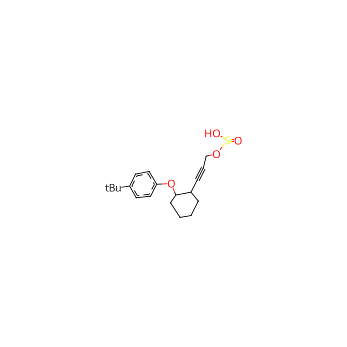 CC(C)(C)c1ccc(OC2CCCCC2C#CCOS(=O)O)cc1